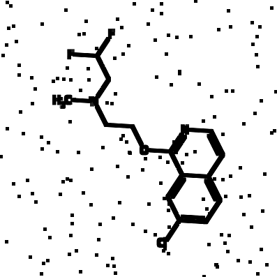 CN(CCOc1nccc2ccc(Cl)cc12)CC(F)F